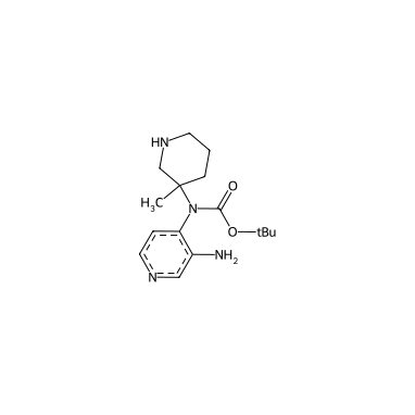 CC(C)(C)OC(=O)N(c1ccncc1N)C1(C)CCCNC1